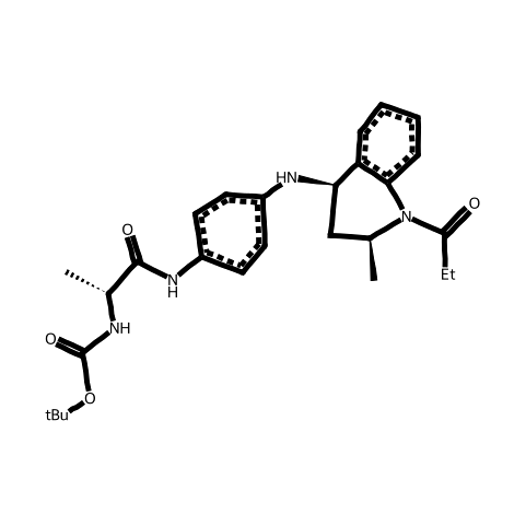 CCC(=O)N1c2ccccc2[C@H](Nc2ccc(NC(=O)[C@@H](C)NC(=O)OC(C)(C)C)cc2)C[C@@H]1C